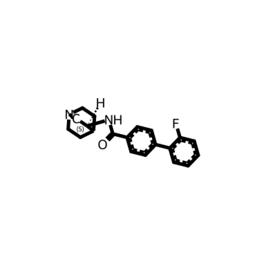 O=C(N[C@@H]1CN2CCC1CC2)c1ccc(-c2ccccc2F)cc1